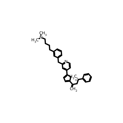 C=C(C[C@H](C)c1ccccc1)C1=CC=C(c2ccnc(Cc3cccc(CCCCN(C)C)c3)c2)C1